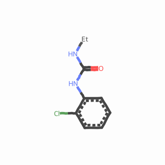 [CH2]CNC(=O)Nc1ccccc1Cl